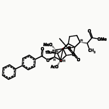 COC(=O)C(C)[C@H]1CCC23C4OC(=O)C12OC1O[C@@H](OC(=O)c2ccc(-c5ccccc5)cc2)[C@H](OC)C13[C@H](C(C)(C)C)[C@H]4OC(C)=O